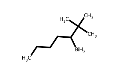 CCCC[CH]([BiH2])C(C)(C)C